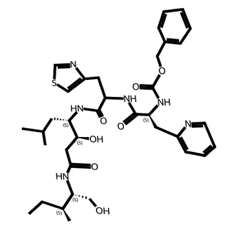 CC[C@H](C)[C@@H](CO)NC(=O)C[C@H](O)[C@H](CC(C)C)NC(=O)C(Cc1cscn1)NC(=O)[C@H](Cc1ccccn1)NC(=O)OCc1ccccc1